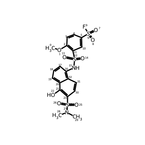 COc1ccc(S(=O)(=O)F)cc1S(=O)(=O)Nc1cccc2c(O)c(S(=O)(=O)N(C)C)ccc12